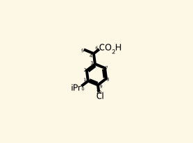 CC(C)c1cc(C(C)C(=O)O)ccc1Cl